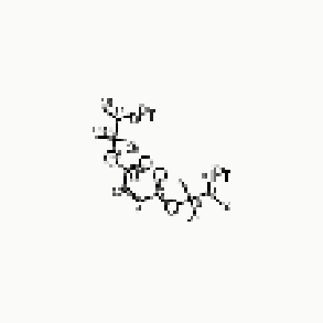 CC(C)C(C)C(C)(C)OC(=O)/C=C\C(=O)OC(C)(C)C(C)C(C)C